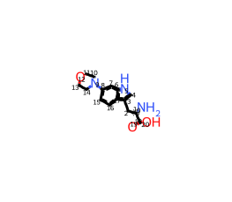 N[C@@H](Cc1c[nH]c2cc(N3CCOCC3)ccc12)C(=O)O